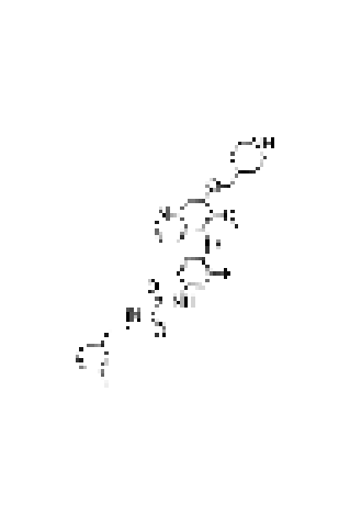 COc1c(OCC2CCNCC2)cc2ncccc2c1Oc1ccc(NC(=O)C(=O)NCCc2cccc(C)c2)cc1F